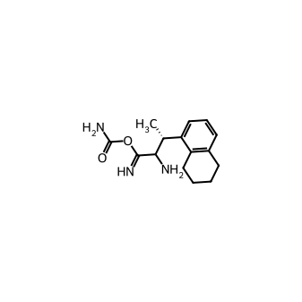 C[C@H](c1cccc2c1CCCC2)C(N)C(=N)OC(N)=O